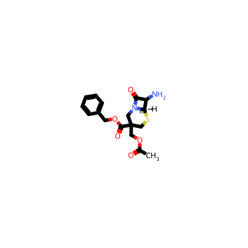 CC(=O)OCC1(C(=O)OCc2ccccc2)CS[C@@H]2C(N)C(=O)N2C1